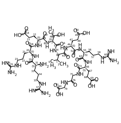 CC(C)[C@H](NC(=O)[C@@H](NC(=O)[C@H](CCC(=O)O)NC(=O)[C@H](CCCNC(=N)N)NC(=O)[C@@H](N)CCCNC(=N)N)[C@@H](C)O)C(=O)N[C@@H](CCC(=O)O)C(=O)N[C@@H](CCCNC(=N)N)C(=O)N[C@@H](CCC(=O)O)C(=O)NCC(=O)NCC(=O)O